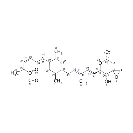 CC[C@@H]1CC2(CO2)[C@H](O)[C@@H](/C=C/C(C)=C/CC2OC(C)C(NC(=O)/C=C\C(C)OC=O)CC2C)O1